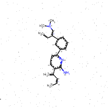 C=C/C(=C\N(C)C)c1cccc(-c2ccc(C(=C)/C=C\C)c(N)n2)c1